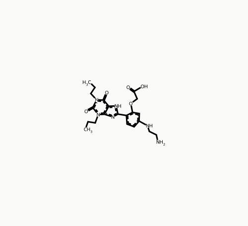 CCCn1c(=O)c2[nH]c(-c3ccc(NCCN)cc3OCC(=O)O)nc2n(CCC)c1=O